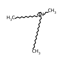 CCCCCCCCCCCCCCCCCc1n(CCCC)cc[n+]1CCCCCCCCCCCC